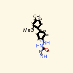 COc1cc(C)ccc1-c1ccc(NNC(=O)N=N)cc1